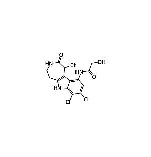 CCC1C(=O)NCCc2[nH]c3c(Cl)c(Cl)cc(NC(=O)CO)c3c21